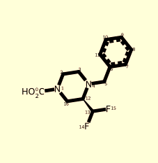 O=C(O)N1CCN(Cc2ccccc2)[C@@H](C(F)F)C1